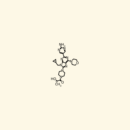 C[C@H](O)C(=O)N1CCN(c2nc3c(N4CCOCC4)nc(-c4cnc(N)nc4)nc3n2CC2CC2)CC1